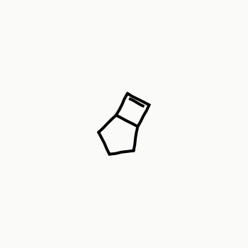 C1=CC2CCCC12